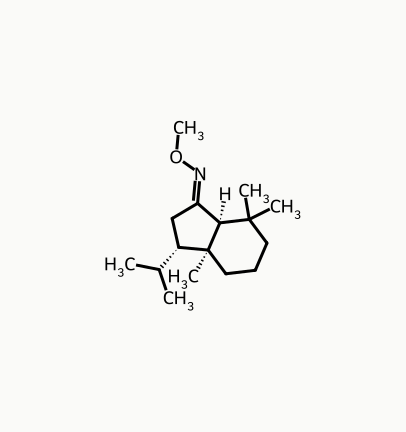 CON=C1C[C@@H](C(C)C)[C@]2(C)CCCC(C)(C)[C@H]12